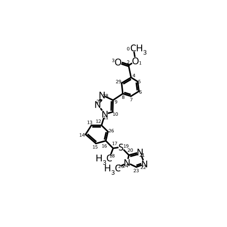 COC(=O)c1cccc(-c2cn(-c3cccc(C(C)Sc4nncn4C)c3)nn2)c1